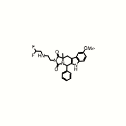 COc1ccc2[nH]c3c(c2c1)CC1(C)C(=O)N(CCNCC(F)F)C(=O)N1C3c1ccccc1